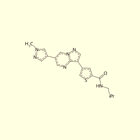 CC(C)CNC(=O)c1cc(-c2cnn3cc(-c4cnn(C)c4)cnc23)cs1